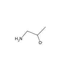 CC([O])CN